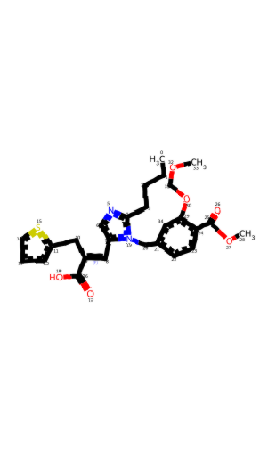 CCCCc1ncc(/C=C(\Cc2cccs2)C(=O)O)n1Cc1ccc(C(=O)OC)c(OCOC)c1